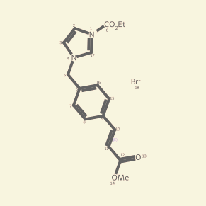 CCOC(=O)[n+]1ccn(Cc2ccc(/C=C/C(=O)OC)cc2)c1.[Br-]